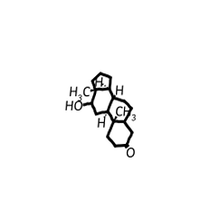 C[C@@]12CCC[C@H]1[C@@H]1CCC3CC(=O)CC[C@]3(C)[C@H]1CC2O